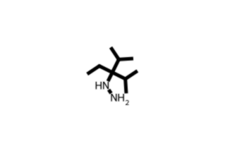 CCC(NN)(C(C)C)C(C)C